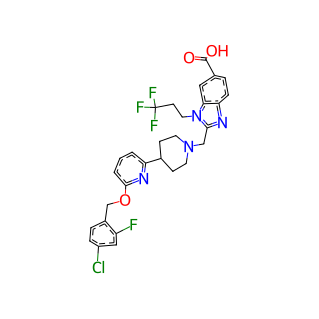 O=C(O)c1ccc2nc(CN3CCC(c4cccc(OCc5ccc(Cl)cc5F)n4)CC3)n(CCC(F)(F)F)c2c1